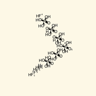 F.F.F.F.F.F.O=P(O)(O)O.O=P(O)(O)O.O=P(O)(O)O.O=P(O)(O)O.O=P(O)(O)O.O=P(O)(O)O